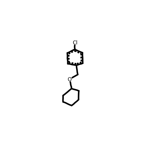 Clc1ccc(COC2CCCCC2)cc1